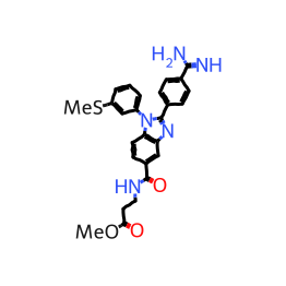 COC(=O)CCNC(=O)c1ccc2c(c1)nc(-c1ccc(C(=N)N)cc1)n2-c1cccc(SC)c1